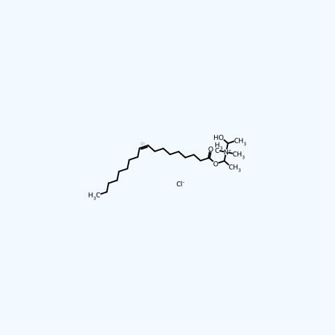 CCCCCCCC/C=C\CCCCCCCC(=O)OC(C)[N+](C)(C)C(C)O.[Cl-]